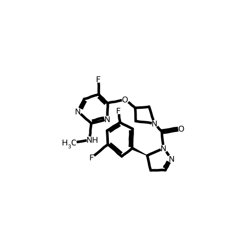 CNc1ncc(F)c(OC2CN(C(=O)N3N=CC[C@H]3c3cc(F)cc(F)c3)C2)n1